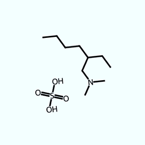 CCCCC(CC)CN(C)C.O=S(=O)(O)O